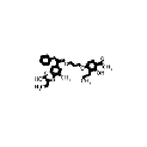 CCCc1c(OCCCON=C(Cc2ccccc2)c2ccc(OC(CC)C(=O)O)c(C)c2)ccc(C(C)=O)c1O